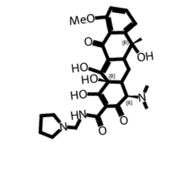 COc1cccc2c1C(=O)C1=C(O)[C@@]3(O)C(O)=C(C(=O)NCN4CCCC4)C(=O)[C@H](N(C)C)C3CC1[C@@]2(C)O